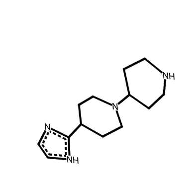 c1c[nH]c(C2CCN(C3CCNCC3)CC2)n1